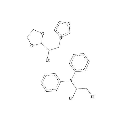 CCC(Cn1ccnc1)C1OCCO1.ClCC(Br)B(c1ccccc1)c1ccccc1